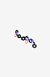 O=C(c1ccc(-c2ccc3c(c2)CCN(C2CCN(Cc4ccccc4)CC2)C3=O)cc1)N1CCCC1